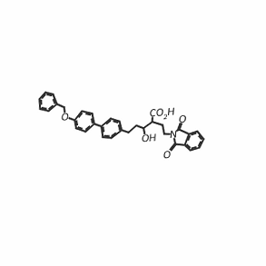 O=C(O)C(CCN1C(=O)c2ccccc2C1=O)C(O)CCc1ccc(-c2ccc(OCc3ccccc3)cc2)cc1